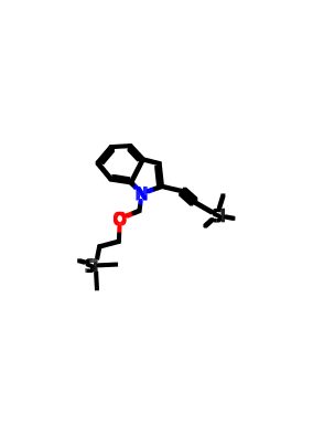 C[Si](C)(C)C#Cc1cc2ccccc2n1COCC[Si](C)(C)C